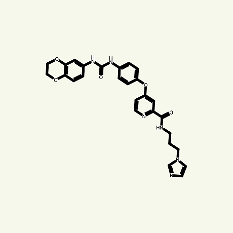 O=C(Nc1ccc(Oc2ccnc(C(=O)NCCCn3ccnc3)c2)cc1)Nc1ccc2c(c1)OCCO2